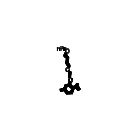 C=C(C)C1CCC(C)CC1OCCOCCCCOCCC